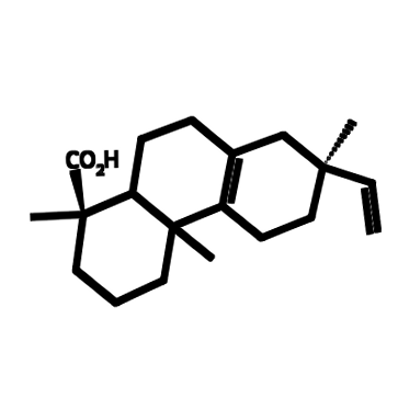 C=C[C@@]1(C)CCC2=C(CCC3C2(C)CCC[C@@]3(C)C(=O)O)C1